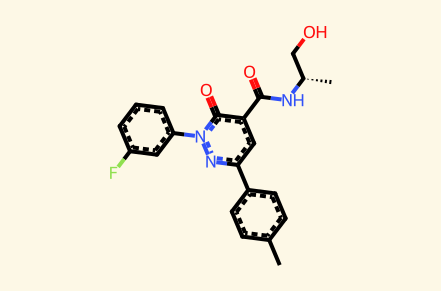 Cc1ccc(-c2cc(C(=O)N[C@@H](C)CO)c(=O)n(-c3cccc(F)c3)n2)cc1